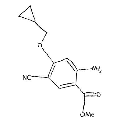 COC(=O)c1cc(C#N)c(OCC2CC2)cc1N